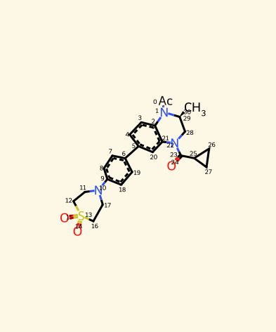 CC(=O)N1c2ccc(-c3ccc(N4CCS(=O)(=O)CC4)cc3)cc2N(C(=O)C2CC2)C[C@@H]1C